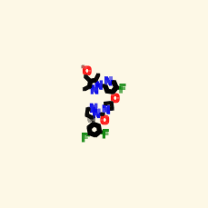 COCc1c(C)nn(-c2cc(OC3CN(C(=O)N4N=CC[C@H]4c4cc(F)cc(F)c4)C3)c(F)cn2)c1C